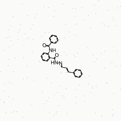 O=C(Nc1ccccc1C(=O)NN=CC=Cc1ccccc1)c1ccccc1